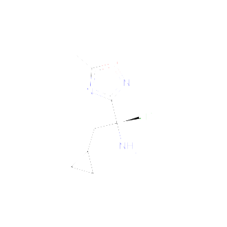 Cc1nc([C@](C)(N)CC2CC2)no1.Cl